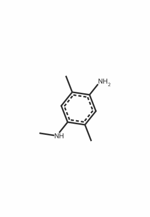 CNc1cc(C)c(N)cc1C